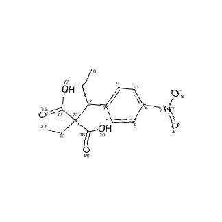 CCC(c1ccc([N+](=O)[O-])cc1)C(CC)(C(=O)O)C(=O)O